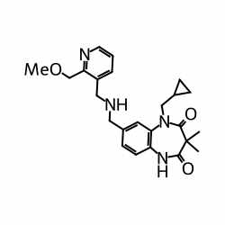 COCc1ncccc1CNCc1ccc2c(c1)N(CC1CC1)C(=O)C(C)(C)C(=O)N2